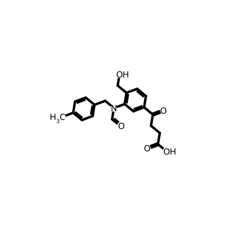 Cc1ccc(CN(C=O)c2cc(C(=O)CCC(=O)O)ccc2CO)cc1